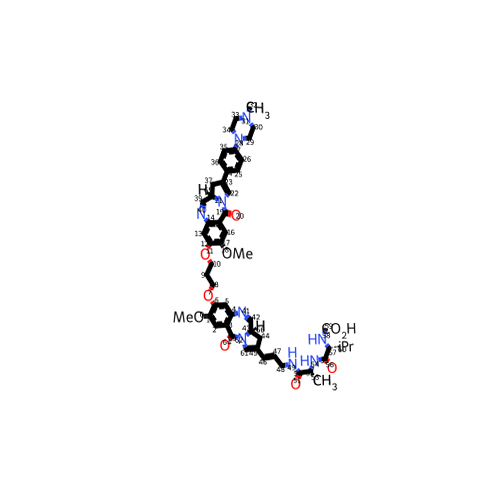 COc1cc2c(cc1OCCCOc1cc3c(cc1OC)C(=O)N1C=C(c4ccc(N5CCN(C)CC5)cc4)C[C@H]1C=N3)N=C[C@@H]1CC(/C=C/CNC(=O)[C@H](C)NC(=O)[C@H](NC(=O)O)C(C)C)=CN1C2=O